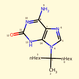 CCCCCCC(C)(CCCCCC)n1cnc2c(N)nc(=O)[nH]c21